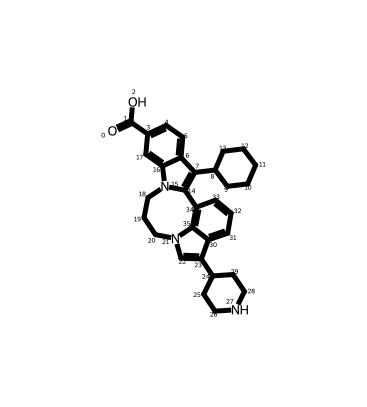 O=C(O)c1ccc2c(C3CCCCC3)c3n(c2c1)CCCn1cc(C2CCNCC2)c2cccc-3c21